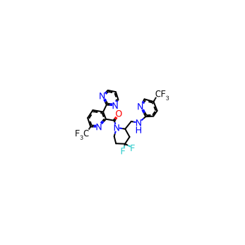 O=C(c1nc(C(F)(F)F)ccc1-c1ncccn1)N1CCC(F)(F)CC1CNc1ccc(C(F)(F)F)cn1